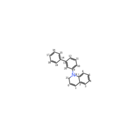 C1=Cc2ccccc2N(c2cccc(-c3ccccc3)c2)C1